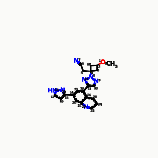 CO[C@H]1C[C@](CC#N)(n2ncc(-c3cc(-c4cc[nH]n4)cc4ncccc34)n2)C1